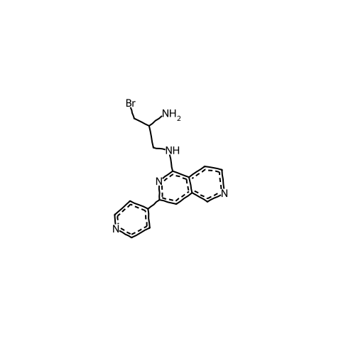 NC(CBr)CNc1nc(-c2ccncc2)cc2cnccc12